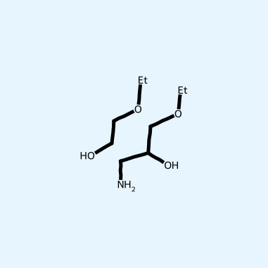 CCOCC(O)CN.CCOCCO